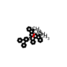 CC1(C)c2ccccc2-c2cc(N(c3ccc(-c4ccccc4)c(-c4ccccc4)c3)c3ccccc3-c3cccc4c3-c3ccccc3C4(C)C)ccc21